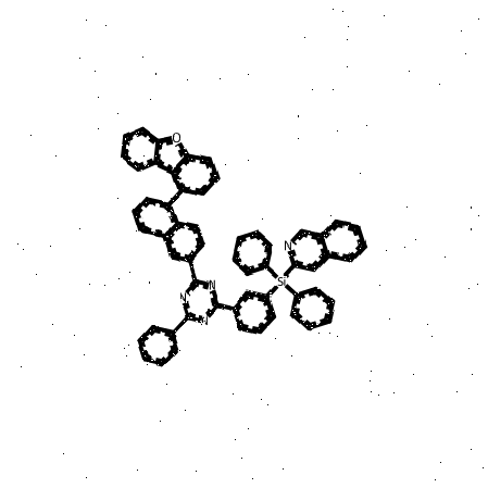 c1ccc(-c2nc(-c3cccc([Si](c4ccccc4)(c4ccccc4)c4cc5ccccc5cn4)c3)nc(-c3ccc4c(-c5cccc6oc7ccccc7c56)cccc4c3)n2)cc1